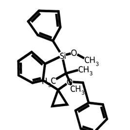 CO[Si](c1ccccc1)(c1ccccc1C1(OCc2ccccc2)CC1)C(C)(C)C